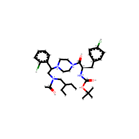 CCC(CC)CN(CC(c1ccccc1F)N1CCN(C(=O)[C@@H](Cc2ccc(Cl)cc2)NC(=O)OC(C)(C)C)CC1)C(C)=O